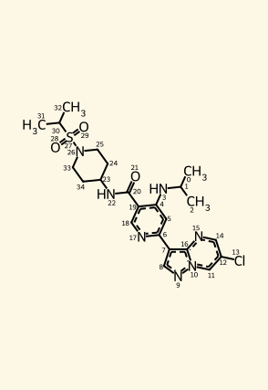 CC(C)Nc1cc(-c2cnn3cc(Cl)cnc23)ncc1C(=O)NC1CCN(S(=O)(=O)C(C)C)CC1